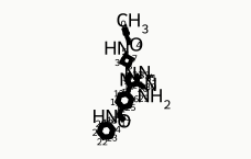 CC#CC(=O)N[C@H]1C[C@@H](n2nc(-c3ccc(C(=O)Nc4ccccc4)cc3)c3c(N)ncnc32)C1